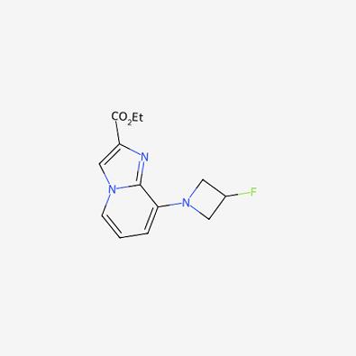 CCOC(=O)c1cn2cccc(N3CC(F)C3)c2n1